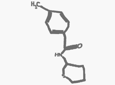 Cc1ccc(C(=O)NC2CCCS2)cc1